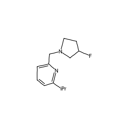 CC(C)c1cccc(CN2CCC(F)C2)n1